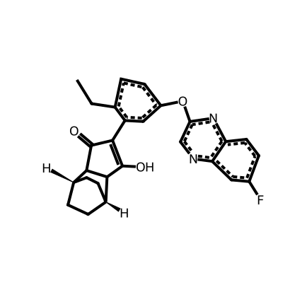 CCc1ccc(Oc2cnc3cc(F)ccc3n2)cc1C1=C(O)C2C(C1=O)[C@H]1CC[C@@H]2CC1